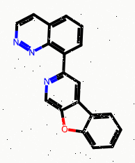 c1cc(-c2cc3c(cn2)oc2ccccc23)c2nnccc2c1